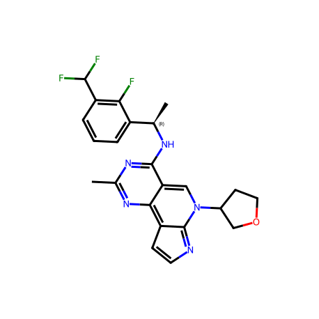 Cc1nc(N[C@H](C)c2cccc(C(F)F)c2F)c2cn(C3CCOC3)c3nccc-3c2n1